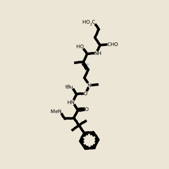 CNCC(C(=O)NC(ON(C)C/C=C(\C)C(O)NC(C=O)CCC(=O)O)C(C)(C)C)C(C)(C)c1ccccc1